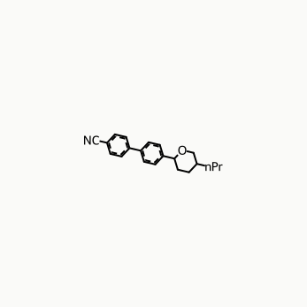 CCCC1CCC(c2ccc(-c3ccc(C#N)cc3)cc2)OC1